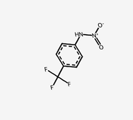 O=[N+]([O-])Nc1ccc(C(F)(F)F)cc1